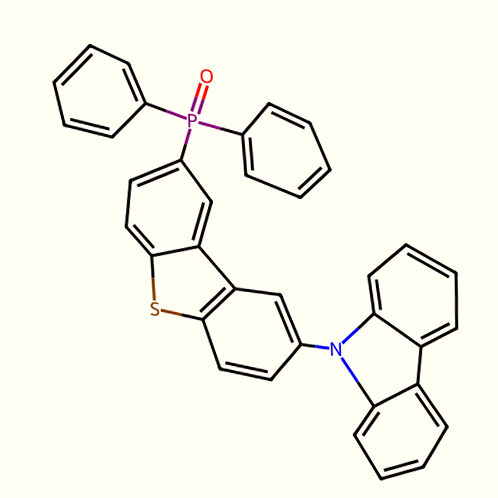 O=P(c1ccccc1)(c1ccccc1)c1ccc2sc3ccc(-n4c5ccccc5c5ccccc54)cc3c2c1